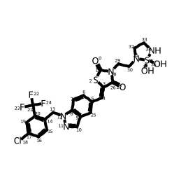 O=C1S/C(=C\c2ccc3c(cnn3Cc3ccc(Cl)cc3C(F)(F)F)c2)C(=O)N1CCN1CCNS1(O)O